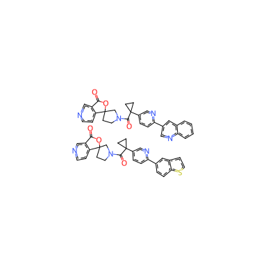 O=C1OC2(CCN(C(=O)C3(c4ccc(-c5ccc6sccc6c5)nc4)CC3)C2)c2ccncc21.O=C1OC2(CCN(C(=O)C3(c4ccc(-c5cnc6ccccc6c5)nc4)CC3)C2)c2ccncc21